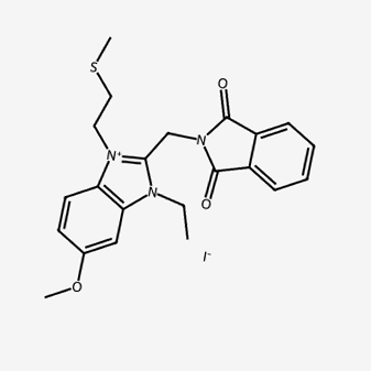 CCn1c(CN2C(=O)c3ccccc3C2=O)[n+](CCSC)c2ccc(OC)cc21.[I-]